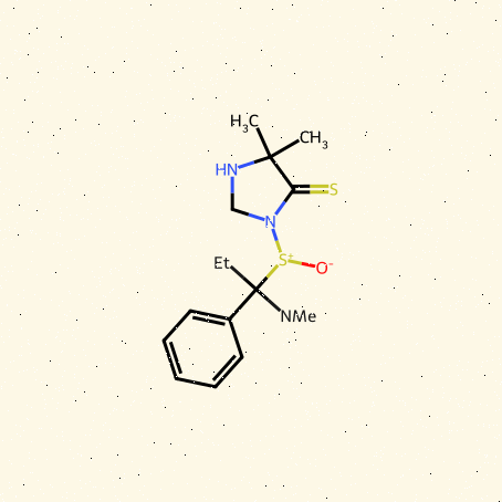 CCC(NC)(c1ccccc1)[S+]([O-])N1CNC(C)(C)C1=S